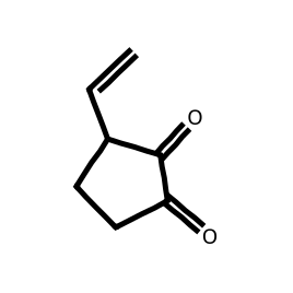 C=CC1CCC(=O)C1=O